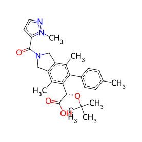 Cc1ccc(-c2c(C)c3c(c(C)c2[C@H](OC(C)(C)C)C(=O)O)CN(C(=O)c2ccnn2C)C3)cc1